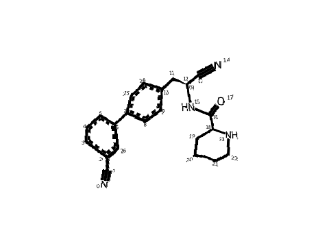 N#Cc1cccc(-c2ccc(C[C@@H](C#N)NC(=O)C3CCCCN3)cc2)c1